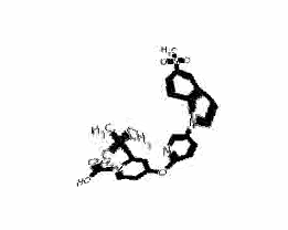 CC(C)(C)C1CC(Oc2ccc(-n3ccc4cc(S(C)(=O)=O)ccc43)cn2)CCN1C(=O)O